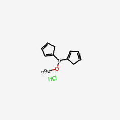 CCCC[O][Ti]([C]1=CC=CC1)[C]1=CC=CC1.Cl